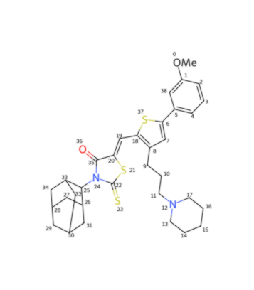 COc1cccc(-c2cc(CCCN3CCCCC3)c(/C=C3\SC(=S)N(C4C5CC6CC(C5)CC4C6)C3=O)s2)c1